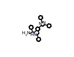 NC/C(=C1\NC(c2ccccc2)=Cc2cc(-c3cc(-c4ccccc4)nc(-c4ccccc4)n3)ccc21)c1ccccc1